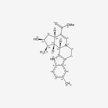 COC(=O)C1=CN2CCc3c([nH]c4ccc(C)cc34)[C@@H]2[C@@H]2[C@@H](C)[C@@H](O)C[C@H]12